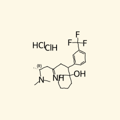 C[C@H](CC(=N)CC(c1cccc(C(F)(F)F)c1)C1(O)CCCCC1)N(C)C.Cl.Cl